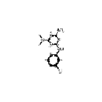 CN(C)c1nc(N)nc(Nc2cccc(Cl)c2)n1